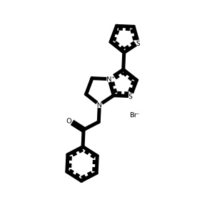 O=C(CN1CC[n+]2c(-c3cccs3)csc21)c1ccccc1.[Br-]